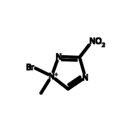 C[N+]1(Br)C=NC([N+](=O)[O-])=N1